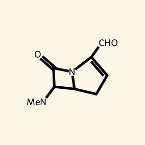 CNC1C(=O)N2C(C=O)=CCC12